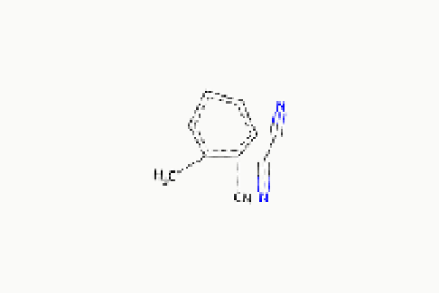 Cc1ccccc1C#N.N#CC#N